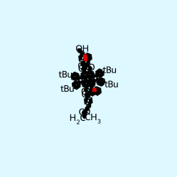 C=C(C)C(=O)OCCN1CCN(C(=O)C(Cc2ccccc2)N2C(=O)c3cc(Oc4ccc(C(C)(C)C)cc4)c4c5c(Oc6ccc(C(C)(C)C)cc6)cc6c7c(cc(Oc8ccc(C(C)(C)C)cc8)c(c8c(Oc9ccc(C(C)(C)C)cc9)cc(c3c48)C2=O)c75)C(=O)N(C(Cc2ccccc2)C(=O)N2CCN(CCO)CC2)C6=O)CC1